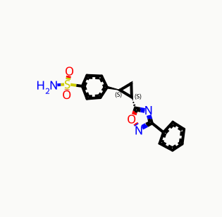 NS(=O)(=O)c1ccc([C@H]2C[C@@H]2c2nc(-c3ccccc3)no2)cc1